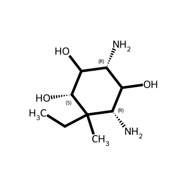 CCC1(C)[C@H](O)C(O)[C@H](N)C(O)[C@@H]1N